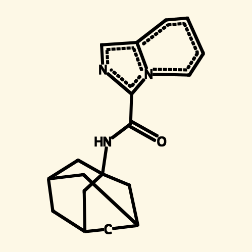 O=C(NC12CC3CC(CC(C3)C1)C2)c1ncc2ccccn12